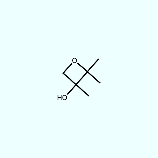 CC1(O)COC1(C)C